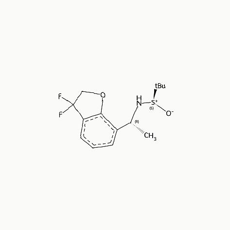 C[C@@H](N[S@+]([O-])C(C)(C)C)c1cccc2c1OCC2(F)F